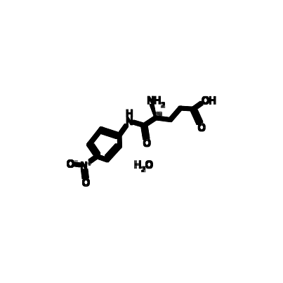 N[C@@H](CCC(=O)O)C(=O)Nc1ccc([N+](=O)[O-])cc1.O